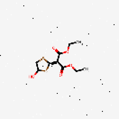 CCOC(=O)C(C(=O)OCC)=C1SCC(O)S1